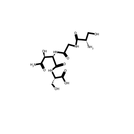 NC(=O)[C@@H](O)[C@H](NC(=O)CNC(=O)[C@@H](N)CO)C(=O)N[C@@H](CO)C(=O)O